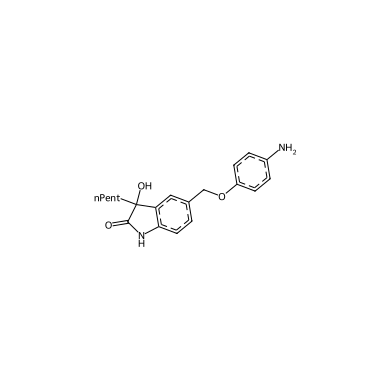 CCCCCC1(O)C(=O)Nc2ccc(COc3ccc(N)cc3)cc21